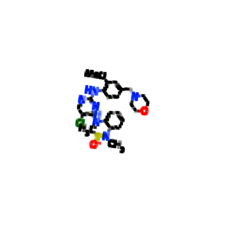 COc1cc(CN2CCOCC2)ccc1Nc1ncc(Cl)c(Nc2ccccc2N(C)[S+](C)[O-])n1